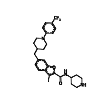 Cc1c(C(=O)NC2CCNCC2)oc2cc(CC3CCN(c4ccc(C(F)(F)F)cc4)CC3)ccc12